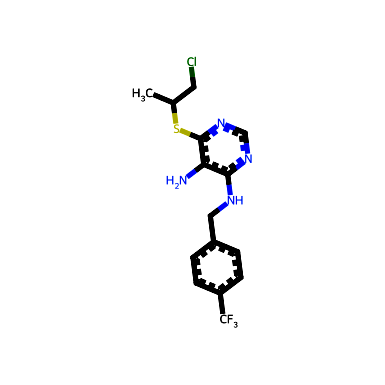 CC(CCl)Sc1ncnc(NCc2ccc(C(F)(F)F)cc2)c1N